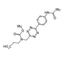 CC(C)(C)OC(=O)N(CCC(=O)O)Cc1nnc(-c2ccc(NC(=O)C(C)(C)C)cc2)nn1